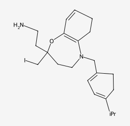 CC(C)C1=CC=C(CN2CCC(CI)(CCN)OC3=C2CCC=C3)CC1